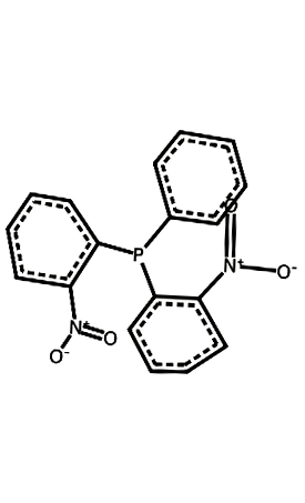 O=[N+]([O-])c1ccccc1P(c1ccccc1)c1ccccc1[N+](=O)[O-]